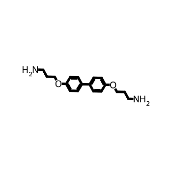 NCCCOc1ccc(-c2ccc(OCCCN)cc2)cc1